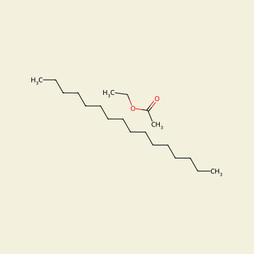 CCCCCCCCCCCCCCCC.CCOC(C)=O